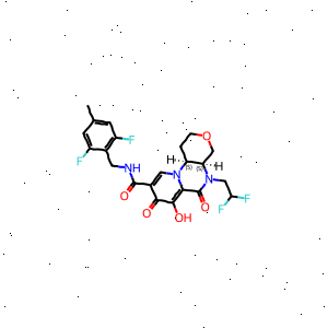 Cc1cc(F)c(CNC(=O)c2cn3c(c(O)c2=O)C(=O)N(CC(F)F)[C@@H]2COCC[C@@H]23)c(F)c1